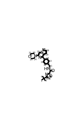 CC(C)(C)c1noc(C(=O)NCc2ccc(-c3nc(N4CCOCC4)cn4nccc34)cc2)n1